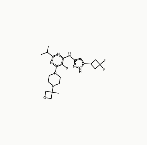 CC(C)c1nc(Nc2cc(C3CC(F)(F)C3)[nH]n2)c(F)c(N2CCN(C3(C)COC3)CC2)n1